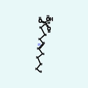 CCCCC/C=C/CCCS(=O)(=O)O